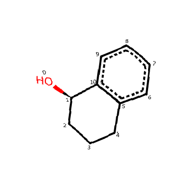 O[C@@H]1CC[CH]c2ccccc21